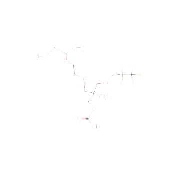 CCC(C)OCCOCC(C)(COCC(F)(F)C(F)(F)F)COC(C)=O